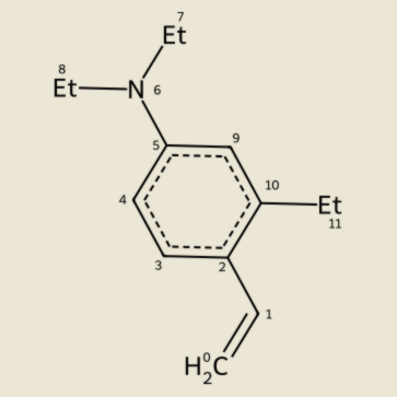 C=Cc1ccc(N(CC)CC)cc1CC